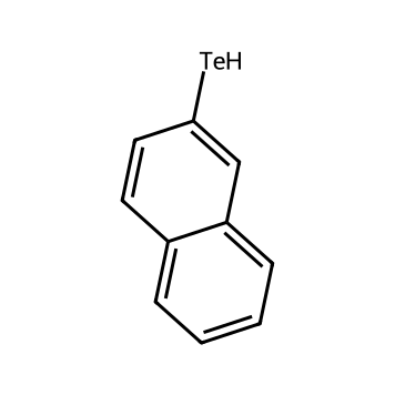 [TeH]c1ccc2ccccc2c1